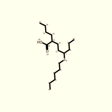 CCCCCCSC(CCC)CCC(CCCC)C(=O)O